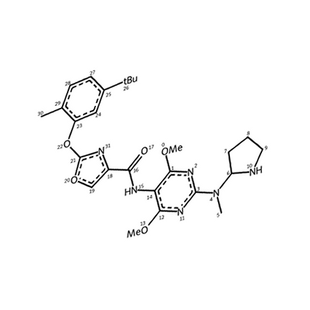 COc1nc(N(C)C2CCCN2)nc(OC)c1NC(=O)c1coc(Oc2cc(C(C)(C)C)ccc2C)n1